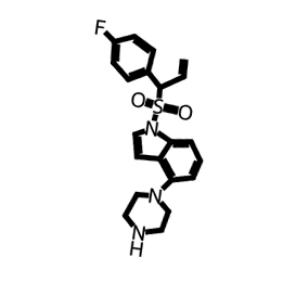 C=CC(c1ccc(F)cc1)S(=O)(=O)n1ccc2c(N3CCNCC3)cccc21